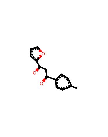 Cc1ccc(C(=O)CC(=O)c2ccco2)cc1